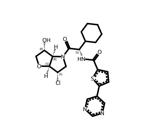 O=C(N[C@H](C(=O)N1C[C@H](Cl)[C@H]2OC[C@H](O)[C@H]21)C1CCCCC1)c1ccc(-c2cncnc2)s1